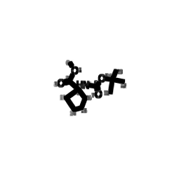 COC(=O)C1(NC(=O)OC(C)(C)C)CCCC1